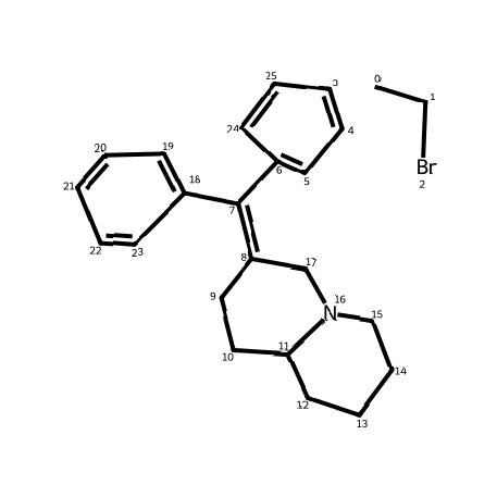 CCBr.c1ccc(C(=C2CCC3CCCCN3C2)c2ccccc2)cc1